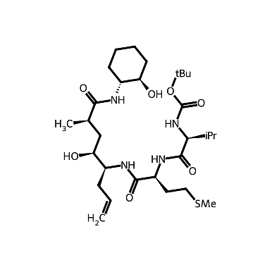 C=CC[C@H](NC(=O)[C@H](CCSC)NC(=O)[C@@H](NC(=O)OC(C)(C)C)C(C)C)[C@@H](O)C[C@@H](C)C(=O)N[C@@H]1CCCC[C@H]1O